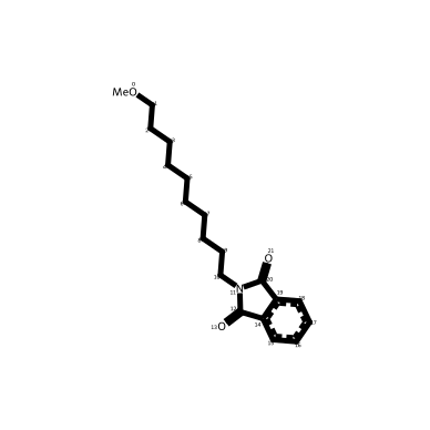 COCCCCCCCCCCN1C(=O)c2ccccc2C1=O